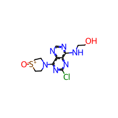 [O-][S+]1CCN(c2nc(Cl)nc3c(NCCO)ncnc23)CC1